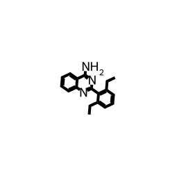 CCc1cccc(CC)c1-c1nc(N)c2ccccc2n1